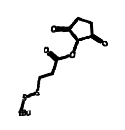 CC(C)(C)SSCCC(=O)OC1C(=O)CCC1=O